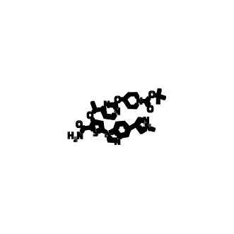 CC(Oc1cc(-n2cnc3cc(-c4cnn(C)c4)ccc32)sc1C(N)=O)c1ccnc(OC2CCN(C(=O)OC(C)(C)C)CC2)n1